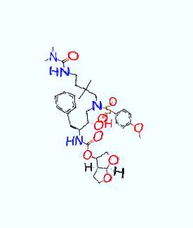 COc1ccc(S(=O)(=O)N(C[C@H](O)[C@H](Cc2ccccc2)NC(=O)O[C@H]2CO[C@H]3OCC[C@H]32)CC(C)(C)CCNC(=O)N(C)C)cc1